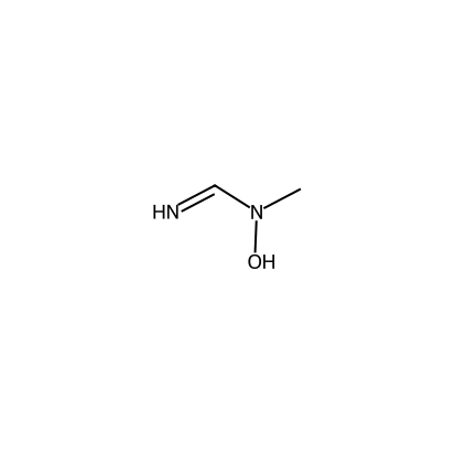 CN(O)C=N